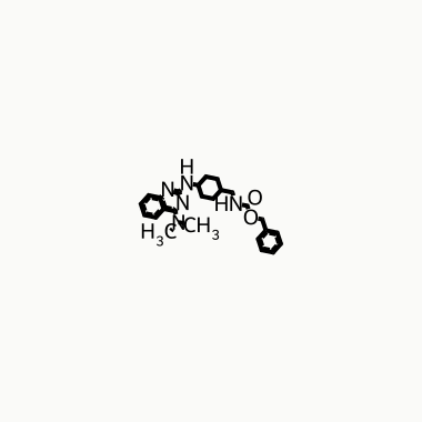 CN(C)c1nc(NC2CCC(CNC(=O)OCc3ccccc3)CC2)nc2ccccc12